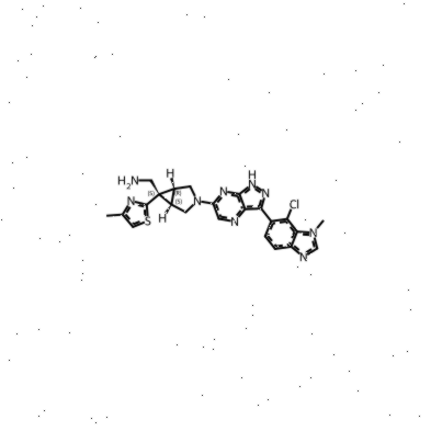 Cc1csc([C@]2(CN)[C@@H]3CN(c4cnc5c(-c6ccc7ncn(C)c7c6Cl)n[nH]c5n4)C[C@@H]32)n1